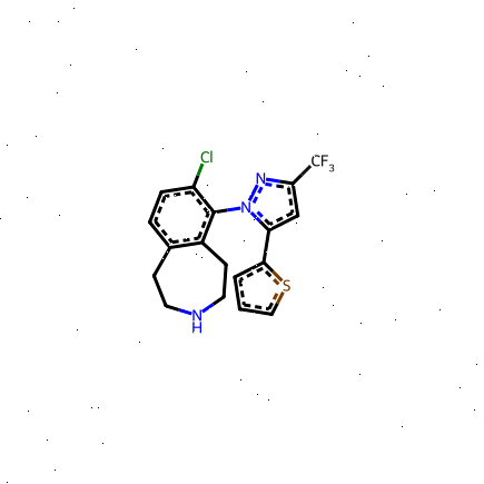 FC(F)(F)c1cc(-c2cccs2)n(-c2c(Cl)ccc3c2CCNCC3)n1